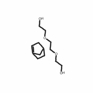 C1=C2CCC(C1)C2.OCCOCCOCCO